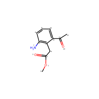 COC(=O)Cc1c(N)cccc1C(C)=O